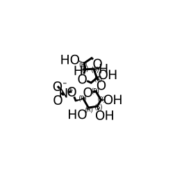 O=[N+]([O-])OC[C@H]1O[C@H](O[C@@]2(O)CO[C@@H]3[C@H](O)CO[C@@H]32)[C@H](O)[C@@H](O)[C@H]1O